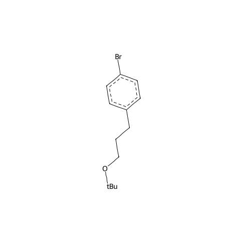 CC(C)(C)OCCCc1ccc(Br)cc1